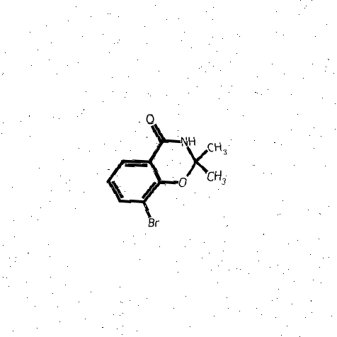 CC1(C)NC(=O)c2cccc(Br)c2O1